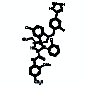 COc1cc(C(=O)O)ccc1NC(=O)[C@@H]1N[C@@H](CC(C)(C)C)[C@@]2(CN(Cc3ccc(C4=NNNN4)cc3F)c3ccc(Cl)cc32)[C@H]1c1ccccc1Cl